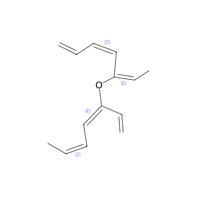 C=C/C=C\C(=C/C)O/C(C=C)=C/C=C\C